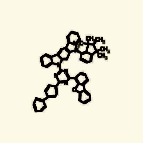 CC1C(C)(C)c2cccc(-n3c4ccccc4c4cc5c6ccccc6n(-c6nc(-c7ccc(-c8ccccc8)cc7)nc(-c7cccc8c7oc7ccccc78)n6)c5cc43)c2C1(C)C